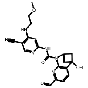 COCCNc1cc(NC(=O)N2c3nc(C=O)ccc3C3(O)CC2C3)ncc1C#N